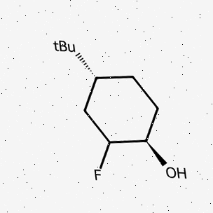 CC(C)(C)[C@@H]1CC[C@@H](O)C(F)C1